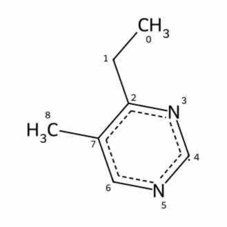 CCc1n[c]ncc1C